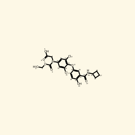 CCOC(=O)N(CC(=O)O)c1cc(Cl)c(Oc2ccc(O)c(C(=O)NC3CCC3)c2)c(Cl)c1